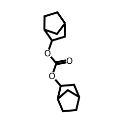 O=C(OC1CC2CCC1C2)OC1CC2CCC1C2